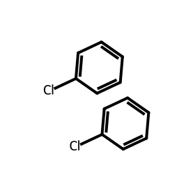 Clc1ccccc1.Clc1ccccc1